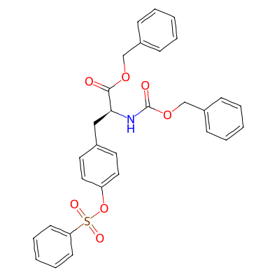 O=C(N[C@@H](Cc1ccc(OS(=O)(=O)c2ccccc2)cc1)C(=O)OCc1ccccc1)OCc1ccccc1